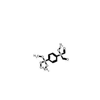 CO[Si](C=O)(C=O)c1ccc([Si](OC)(OC)OC)cc1